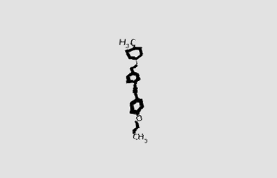 CCCCOc1ccc(C#Cc2ccc(CC[C@H]3CC[C@H](C)CC3)cc2)cc1